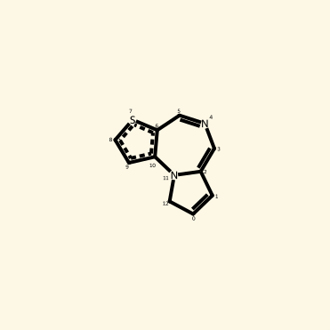 C1=CC2=CN=Cc3sccc3N2C1